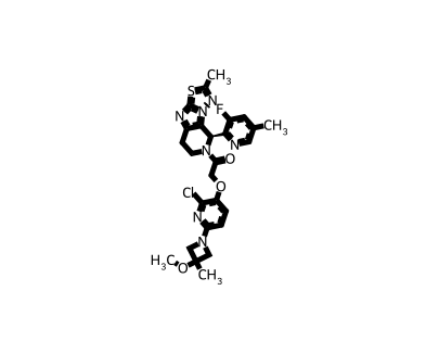 COC1(C)CN(c2ccc(OCC(=O)N3CCc4nc5sc(C)nn5c4[C@H]3c3ncc(C)cc3F)c(Cl)n2)C1